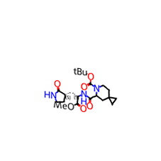 COC(=O)[C@H](C[C@@H]1CCNC1=O)NC(=O)C1CC2(CCN1C(=O)OC(C)(C)C)CC2